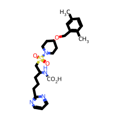 Cc1ccc(C)c(COC2CCN(S(=O)(=O)CC(CCCc3ncccn3)NC(=O)O)CC2)c1